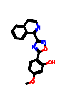 COc1ccc(-c2nc(-c3nccc4ccccc34)no2)c(O)c1